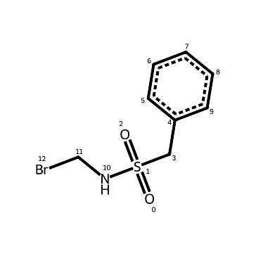 O=S(=O)(Cc1ccccc1)NCBr